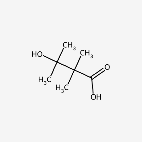 CC(C)(O)C(C)(C)C(=O)O